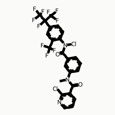 CN(C(=O)c1cccnc1Cl)c1cccc(C(=O)N(Cl)c2ccc(C(F)(C(F)(F)F)C(F)(F)F)cc2C(F)(F)F)c1